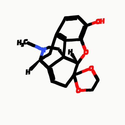 CN1CC[C@@]23C4=CCC5(OCCO5)[C@@H]2Oc2c(O)ccc(c23)C[C@H]41